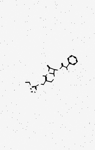 CO[C@@]1(NC(=O)C(N)c2ccccc2)C(=O)N2C(C(=O)O)=C(CSc3nnnn3CC(=O)O)CS[C@@H]21